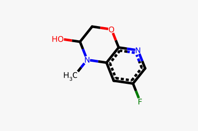 CN1c2cc(F)cnc2OCC1O